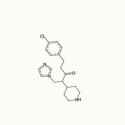 O=C(CCc1ccc(Cl)cc1)C(Cn1ccnc1)C1CCNCC1